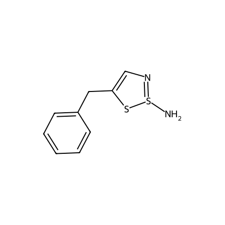 NS1=NC=C(Cc2ccccc2)S1